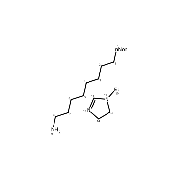 CCCCCCCCCCCCCCCCCN.CCN1C=NCC1